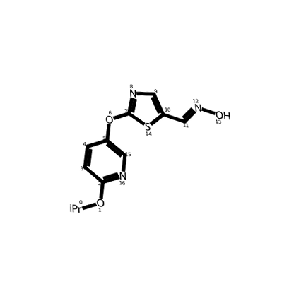 CC(C)Oc1ccc(Oc2ncc(/C=N/O)s2)cn1